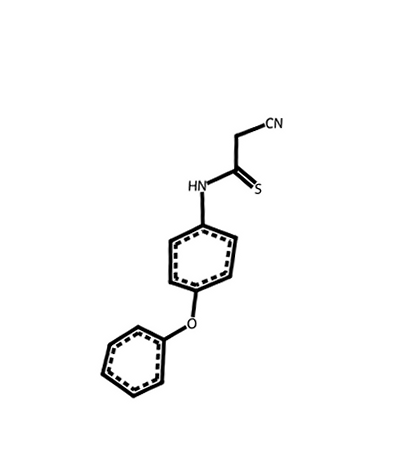 N#CCC(=S)Nc1ccc(Oc2ccccc2)cc1